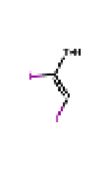 [TeH]C(I)=CI